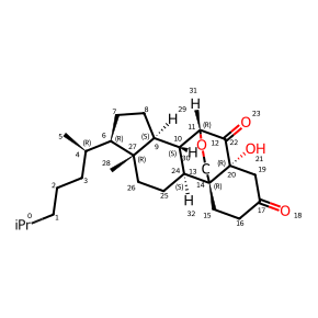 CC(C)CCC[C@@H](C)[C@H]1CC[C@H]2[C@@H]3[C@H]4OC[C@@]5(CCC(=O)C[C@]5(O)C4=O)[C@H]3CC[C@]12C